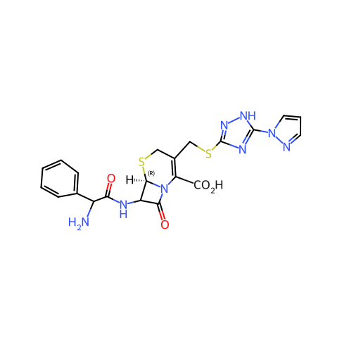 NC(C(=O)NC1C(=O)N2C(C(=O)O)=C(CSc3n[nH]c(-n4cccn4)n3)CS[C@H]12)c1ccccc1